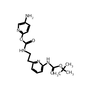 CC(C)(C)OC(=O)Nc1cccc(CCNC(=O)Oc2ccc(N)cn2)n1